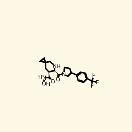 O=C(NO)[C@H]1CC2(CC2)CN[C@@H]1C(=O)N1CCC(c2ccc(C(F)(F)F)cc2)C1